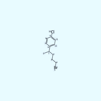 CC(CCCBr)c1ccc(Cl)cc1